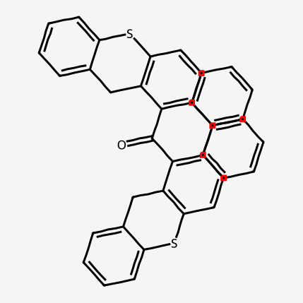 O=C(c1c(-c2ccccc2)ccc2c1Cc1ccccc1S2)c1c(-c2ccccc2)ccc2c1Cc1ccccc1S2